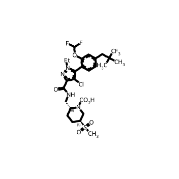 CCn1nc(C(=O)NC[C@H]2CC[C@H](S(C)(=O)=O)CN2C(=O)O)c(Cl)c1-c1ccc(CC(C)(C)C(F)(F)F)cc1OC(F)F